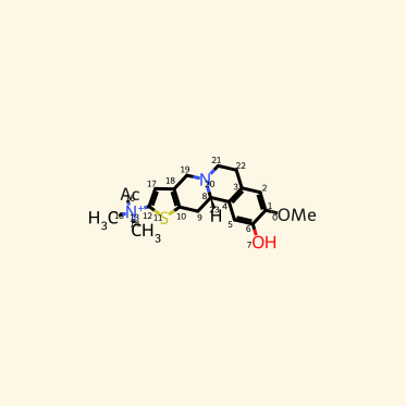 COc1cc2c(cc1O)[C@@H]1Cc3sc([N+](C)(C)C(C)=O)cc3CN1CC2